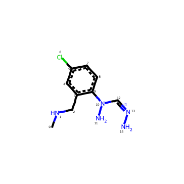 CNCc1cc(Cl)ccc1N(N)/C=N\N